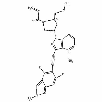 C=CC(=O)N1C[C@@H](n2nc(C#Cc3c(F)cc4nn(C)cc4c3F)c3c(N)nccc32)C[C@@H]1COC